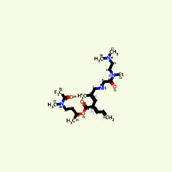 C=C/C=C(\C=C(/C)CNCC(=O)N(CC)CCN(C)C)C(=O)OC(C)CCN(C)C(=O)C(F)(F)F